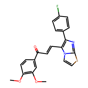 COc1ccc(C(=O)C=Cc2c(-c3ccc(F)cc3)nc3sccn23)cc1OC